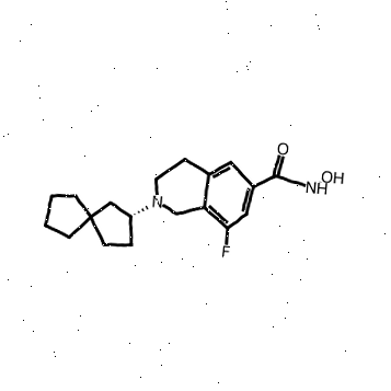 O=C(NO)c1cc(F)c2c(c1)CCN([C@@H]1CCC3(CCCC3)C1)C2